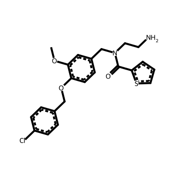 COc1cc(CN(CCN)C(=O)c2cccs2)ccc1OCc1ccc(Cl)cc1